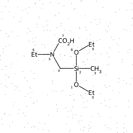 CCO[Si](C)(CN(CC)C(=O)O)OCC